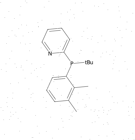 Cc1cccc(P(c2ccccn2)C(C)(C)C)c1C